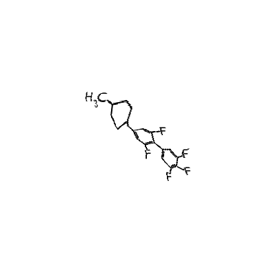 CC1CCC(c2cc(F)c(-c3cc(F)c(F)c(F)c3)c(F)c2)CC1